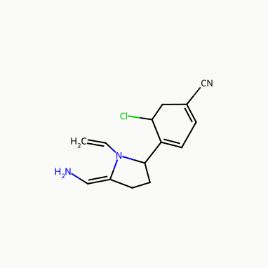 C=CN1/C(=C\N)CCC1C1=CC=C(C#N)CC1Cl